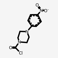 O=C(Cl)N1CCN(c2ccc([N+](=O)[O-])cc2)CC1